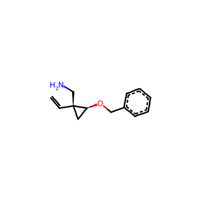 C=C[C@@]1(CN)C[C@@H]1OCc1ccccc1